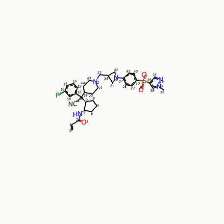 C=CC(=O)N[C@H]1CCC[C@@H]1C(C#N)(c1cccc(F)c1)C1CCN(CC2CN(c3ccc(S(=O)(=O)c4cnn(C)c4)cc3)C2)CC1